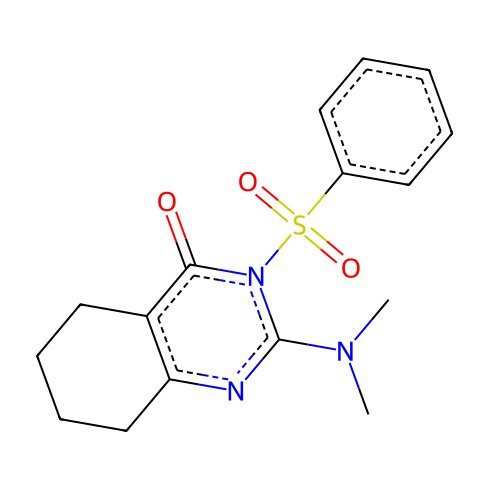 CN(C)c1nc2c(c(=O)n1S(=O)(=O)c1ccccc1)CCCC2